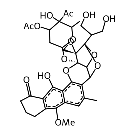 COc1c2c(c(O)c3c4c(c(C)cc13)C1OC3(C(CO)CO)OC1[C@@](OC1CC(OC(C)=O)C(O)(C(C)=O)C(C)O1)(O4)[C@@]31CO1)C(=O)CCC2